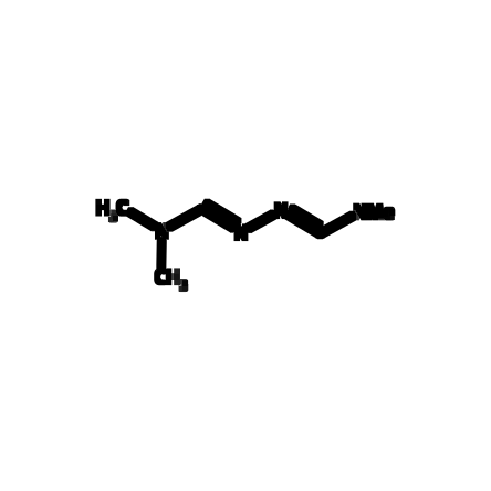 CN/C=N/N=C/N(C)C